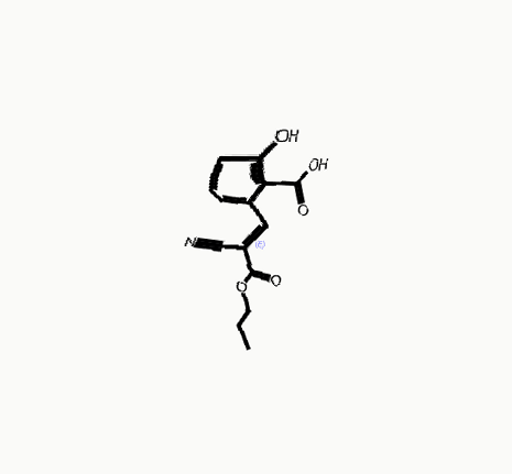 CCCOC(=O)/C(C#N)=C/c1cccc(O)c1C(=O)O